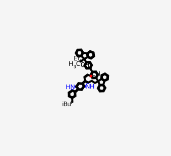 C=C/C=C\c1c(CCC2(c3ccc(-c4ccc(C5(C(C)(C)CC)c6ccccc6-c6ccccc65)cc4)cc3)c3ccccc3-c3ccccc32)[nH]c2cc3c(cc12)[nH]c1ccc(CC(C)CC)cc13